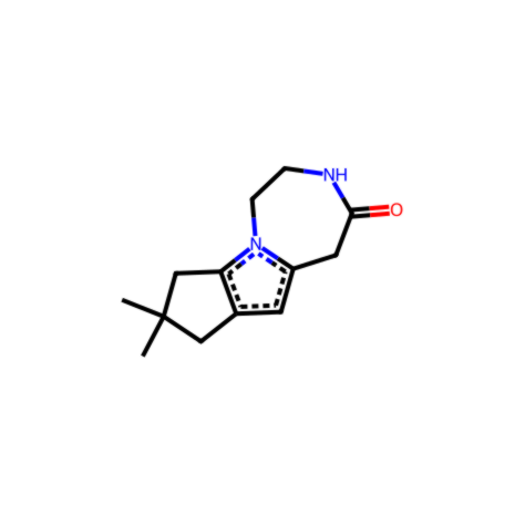 CC1(C)Cc2cc3n(c2C1)CCNC(=O)C3